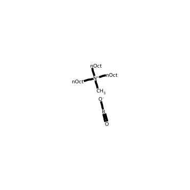 CCCCCCCC[N+](C)(CCCCCCCC)CCCCCCCC.O=B[O-]